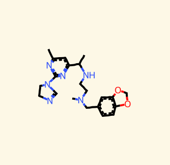 Cc1cc(C(C)NCCN(C)Cc2ccc3c(c2)OCO3)nc(N2C=NCC2)n1